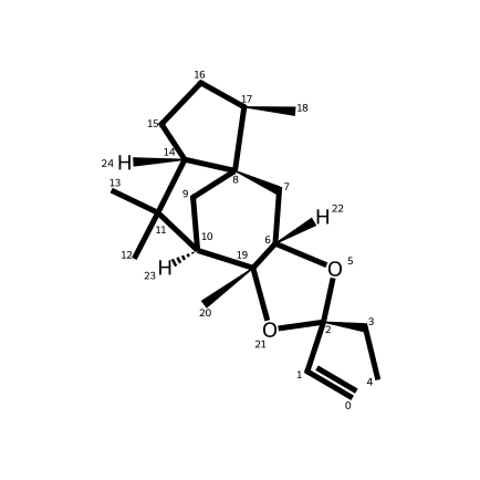 C=C[C@@]1(CC)O[C@H]2C[C@@]34C[C@H](C(C)(C)[C@@H]3CC[C@H]4C)[C@@]2(C)O1